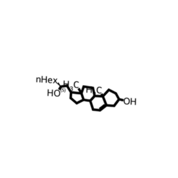 CCCCCC[C@H](O)CC1CCC2C3CC=C4CC(O)CCC4(C)C3CCC12C